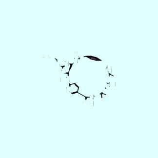 C[C@H]1CNCC(C)(C)CNC(=O)c2ccc(nc2)Nc2cc(nc(OCC(F)(F)F)n2)NCc2ccc(cc2)OC1